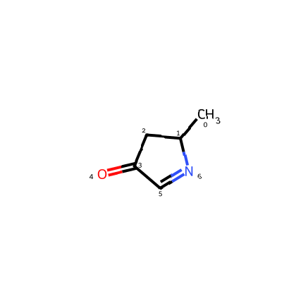 CC1CC(=O)C=N1